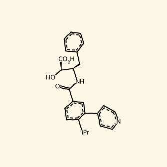 CC(C)c1ccc(C(=O)N[C@H](Cc2ccccc2)[C@@H](O)C(=O)O)cc1-c1ccncc1